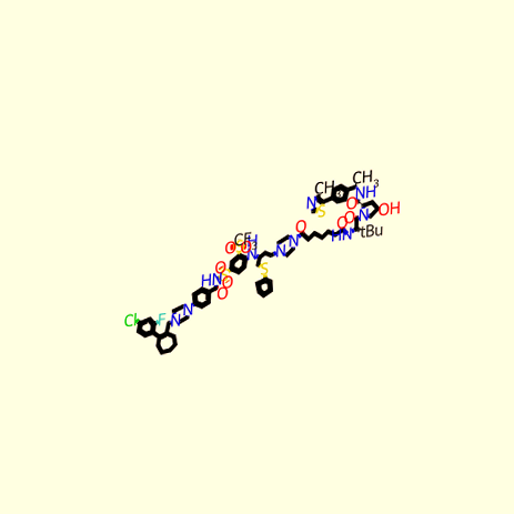 Cc1ncsc1-c1ccc([C@H](C)NC(=O)[C@@H]2C[C@@H](O)CN2C(=O)C(NC(=O)CCCCCC(=O)N2CCN(CCC(CSc3ccccc3)Nc3ccc(S(=O)(=O)NC(=O)c4ccc(N5CCN(CC6=C(c7ccc(Cl)cc7F)CCCCC6)CC5)cc4)cc3S(=O)(=O)C(F)(F)F)CC2)C(C)(C)C)cc1